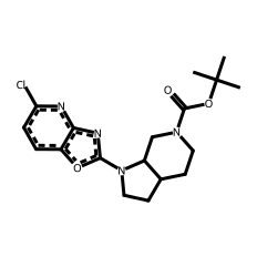 CC(C)(C)OC(=O)N1CCC2CCN(c3nc4nc(Cl)ccc4o3)C2C1